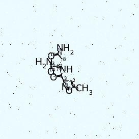 Cc1cc(C(=O)N[C@@H](CC(N)=O)C(N)=O)no1